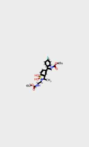 CC1c2cc(-c3cn(C(=O)OC(C)(C)C)c4cc(F)ccc34)ccc2S(O)(O)N1CCNC(=O)OC(C)(C)C